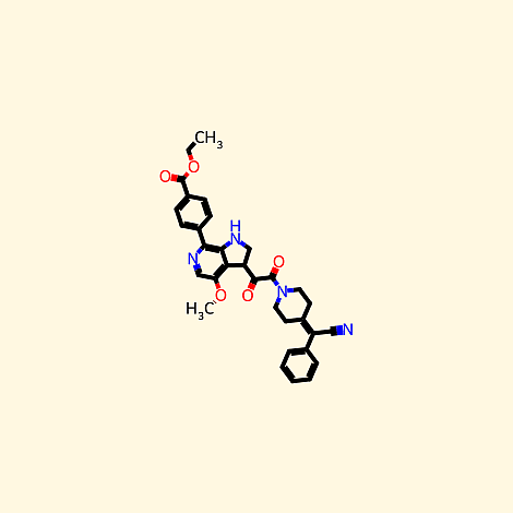 CCOC(=O)c1ccc(-c2ncc(OC)c3c2NCC3C(=O)C(=O)N2CCC(=C(C#N)c3ccccc3)CC2)cc1